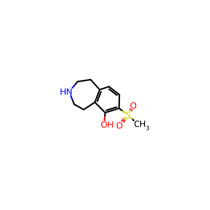 CS(=O)(=O)c1ccc2c(c1O)CCNCC2